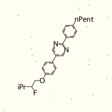 CCCCCc1ccc(-c2ncc(-c3ccc(OCC(F)C(C)C)cc3)cn2)cc1